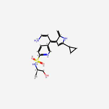 C=c1[nH]c(C2CC2)c/c1=C(/C=C\N)c1ccc(S(=O)(=O)N[C@H](CC)CO)nc1